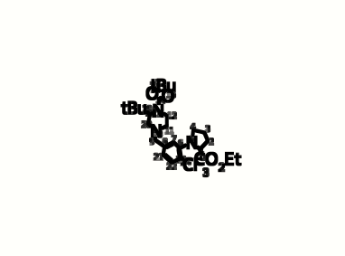 CCOC(=O)C1CCCN1c1cc(CN2CCN(C(=O)OC(C)(C)C)C(C(C)(C)C)C2)ccc1C(F)(F)F